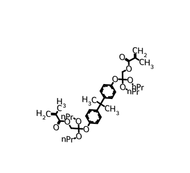 C=C(C)C(=O)OCC(OCCC)(OCCC)Oc1ccc(C(C)(C)c2ccc(OC(COC(=O)C(=C)C)(OCCC)OCCC)cc2)cc1